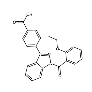 CCOc1ccccc1C(=O)n1nc(-c2ccc(C(=O)O)cc2)c2ccccc21